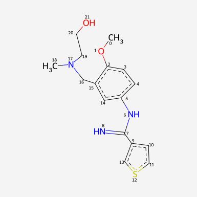 COc1ccc(NC(=N)c2ccsc2)cc1CN(C)CCO